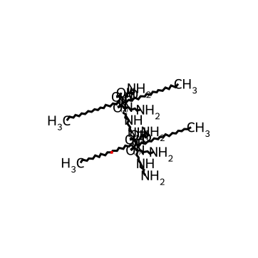 CCCCCCCCCCCCCCCCCC[N+](CCCCCCCCCCCCCCCCCC)(C(=O)[C@H](CCCNCCCN)NCCCN)[C@@H](CCC(N)=O)C(=O)O.CCCCCCCCCCCCCCCCCC[N+](CCCCCCCCCCCCCCCCCC)(C(=O)[C@H](CCCNCCCN)NCCCN)[C@@H](CCC(N)=O)C(=O)O